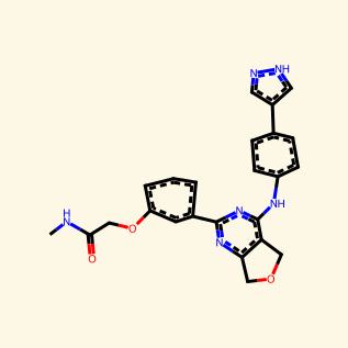 CNC(=O)COc1cccc(-c2nc3c(c(Nc4ccc(-c5cn[nH]c5)cc4)n2)COC3)c1